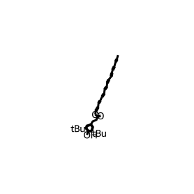 CC#CC#CC#CC#CC#CC#CC#CC#COC(=O)CCc1cc(C(C)(C)C)c(O)c(C(C)(C)C)c1